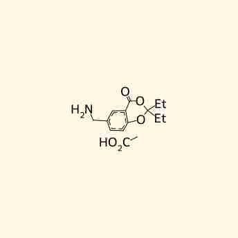 CC(=O)O.CCC1(CC)OC(=O)c2cc(CN)ccc2O1